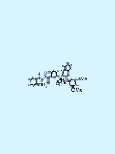 COc1cc(Nc2nc3ccccc3nc2N(c2cccc(NC(=O)CNc3ccccc3C)c2)[SH](=O)=O)cc(OC)c1